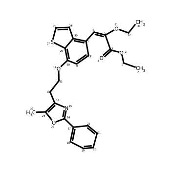 CCOC(=O)/C(=C\c1ccc(OCCc2nc(-c3ccccc3)oc2C)c2sccc12)OCC